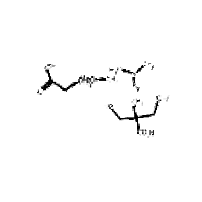 CC(C)N(C)C.CC(CO)(CO)C(=O)O.CCC(=O)O.COC